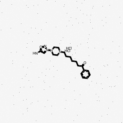 Cl.Cl.[NH-]c1c[n+](N2CCN(CCCCCCC(=O)c3ccccc3)CC2)no1